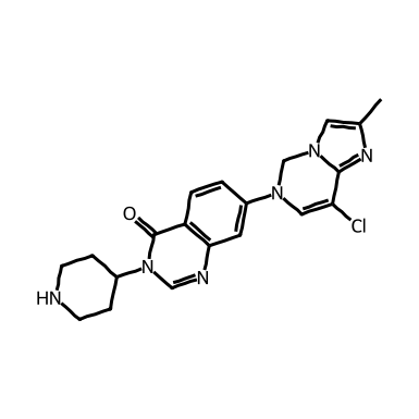 Cc1cn2c(n1)C(Cl)=CN(c1ccc3c(=O)n(C4CCNCC4)cnc3c1)C2